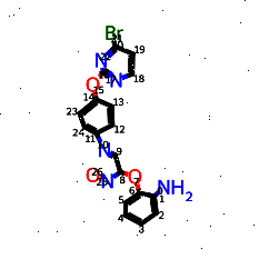 Nc1ccccc1OC(C=Nc1ccc(Oc2nccc(Br)n2)cc1)N=O